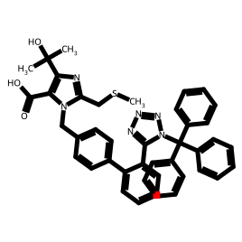 CSCc1nc(C(C)(C)O)c(C(=O)O)n1Cc1ccc(-c2ccccc2-c2nnnn2C(c2ccccc2)(c2ccccc2)c2ccccc2)cc1